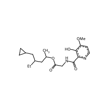 CCC(CC1CC1)CC(C)OC(=O)CNC(=O)c1nccc(OC)c1O